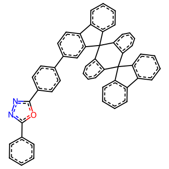 c1ccc(-c2nnc(-c3ccc(-c4ccc5c(c4)C4(c6ccccc6-5)c5ccccc5C5(c6ccccc6-c6ccccc65)c5ccccc54)cc3)o2)cc1